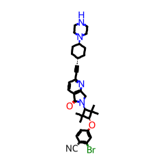 CC1(C)[C@H](Oc2ccc(C#N)c(Br)c2)C(C)(C)[C@H]1N1Cc2nc(C#C[C@H]3CC[C@H](N4CCNCC4)CC3)ccc2C1=O